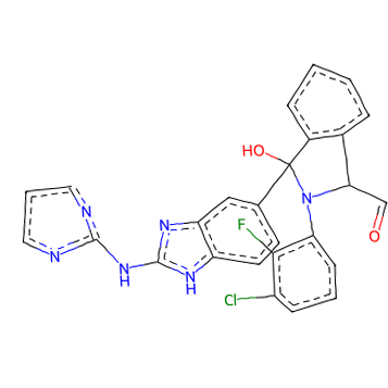 O=CC1c2ccccc2C(O)(c2ccc3[nH]c(Nc4ncccn4)nc3c2)N1c1cccc(Cl)c1F